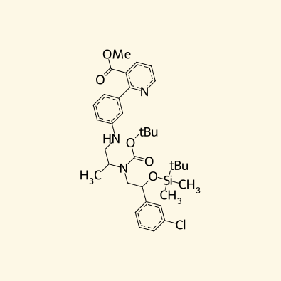 COC(=O)c1cccnc1-c1cccc(NCC(C)N(CC(O[Si](C)(C)C(C)(C)C)c2cccc(Cl)c2)C(=O)OC(C)(C)C)c1